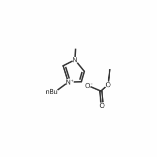 CCCC[n+]1ccn(C)c1.COC(=O)[O-]